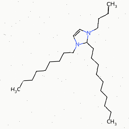 CCCCCCCCCCC1N(CCCC)C=CN1CCCCCCCCC